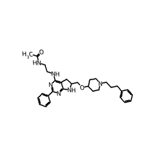 CC(=O)NCCNc1nc(-c2ccccc2)nc2c1CC(COC1CCN(CCCc3ccccc3)CC1)N2